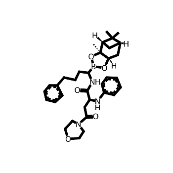 CC1(C)[C@@H]2C[C@H]3OB(C(CCCc4ccccc4)NC(=O)C(CC(=O)N4CCOCC4)Nc4ccccc4)O[C@@]3(C)[C@H]1C2